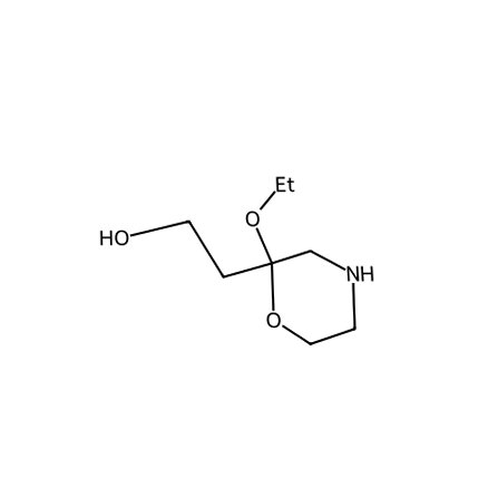 CCOC1(CCO)CNCCO1